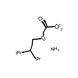 CC(C)C(COC(=O)C(F)(F)F)C(C)C.N